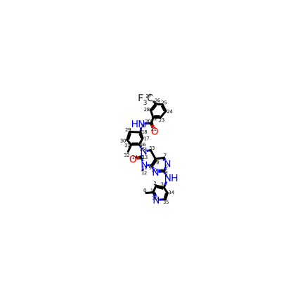 Cc1cc(Nc2ncc3c(n2)N(C)C(=O)N(c2cc(NC(=O)c4cccc(C(F)(F)F)c4)ccc2C)C3)ccn1